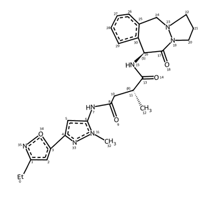 CCc1cc(-c2cc(NC(=O)C[C@@H](C)C(=O)N[C@@H]3C(=O)N4CCCN4Cc4ccccc43)n(C)n2)on1